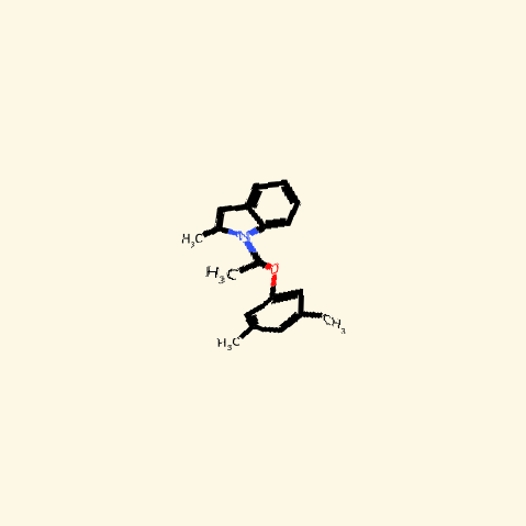 Cc1cc(C)cc(OC(C)N2c3ccccc3CC2C)c1